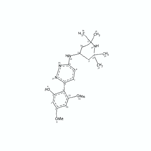 COc1cc(O)c(-c2ccc(NC3CC(C)(C)NC(C)(C)C3)nn2)c(OC)c1